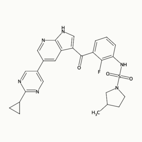 CC1CCN(S(=O)(=O)Nc2cccc(C(=O)c3c[nH]c4ncc(-c5cnc(C6CC6)nc5)cc34)c2F)C1